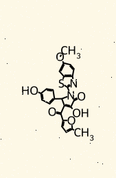 COc1ccc2nc(N3C(=O)C(O)=C(C(=O)c4ccc(C)o4)C3c3ccc(O)cc3)sc2c1